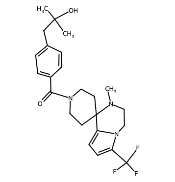 CN1CCn2c(C(F)(F)F)ccc2C12CCN(C(=O)c1ccc(CC(C)(C)O)cc1)CC2